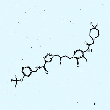 O=C(CN1CCC(F)(F)CC1)Nc1ccn(CCC(F)Cn2cc(C(=O)NCc3cccc(OC(F)(F)F)c3)nn2)c(=O)c1F